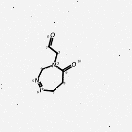 O=CCN1CN=PCCC1=O